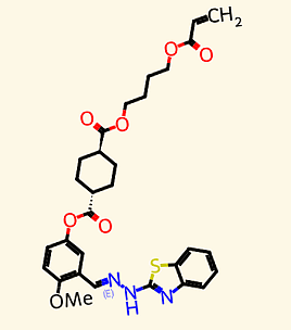 C=CC(=O)OCCCCOC(=O)[C@H]1CC[C@H](C(=O)Oc2ccc(OC)c(/C=N/Nc3nc4ccccc4s3)c2)CC1